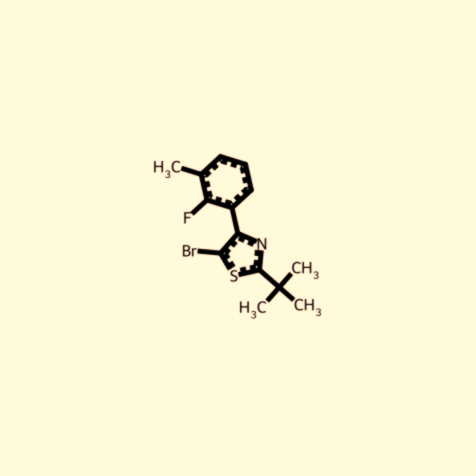 Cc1cccc(-c2nc(C(C)(C)C)sc2Br)c1F